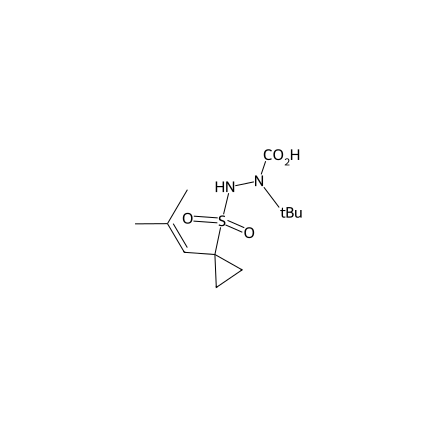 CC(C)=CC1(S(=O)(=O)NN(C(=O)O)C(C)(C)C)CC1